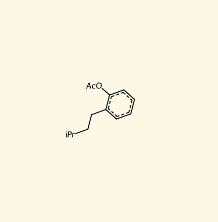 CC(=O)Oc1ccccc1CCC(C)C